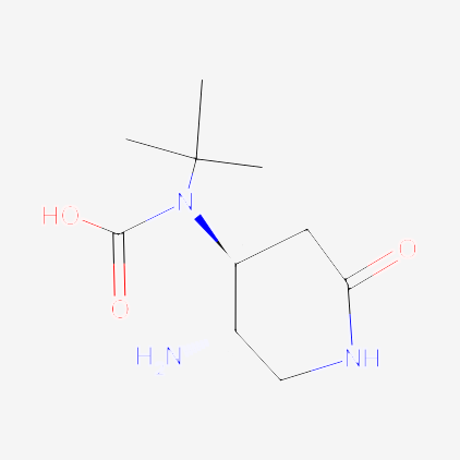 CC(C)(C)N(C(=O)O)[C@H]1CC(=O)NC[C@@H]1N